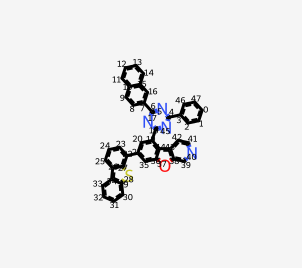 c1ccc(-c2nc(-c3ccc4ccccc4c3)nc(-c3cc(-c4cccc5c4sc4ccccc45)cc4oc5cnccc5c34)n2)cc1